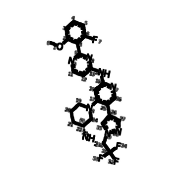 COc1cccc(F)c1-c1nccc(Nc2cc(N3CCC[C@@H](N)C3)c(-c3cnn(CC(F)(F)F)c3)cn2)n1